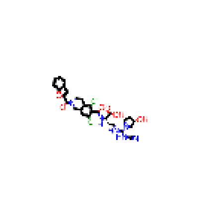 N#CNC(NCC[C@H](NC(=O)c1c(Cl)cc2c(c1Cl)CCN(C(=O)c1cc3ccccc3o1)C2)C(=O)O)N1CC[C@H](O)C1